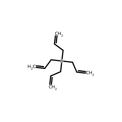 C=CC[B-](CC=C)(CC=C)CC=C